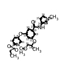 CCS(=O)(=O)c1ccc(Oc2cc(OC(C)COC)cc(C(=O)Nc3ccn(C)n3)c2)cn1